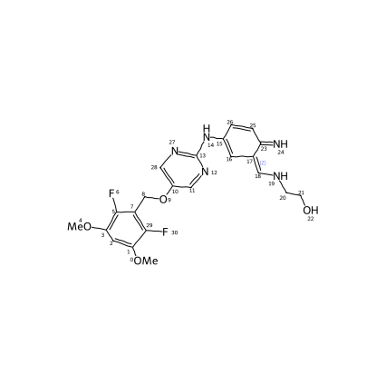 COc1cc(OC)c(F)c(COc2cnc(NC3=C/C(=C/NCCO)C(=N)C=C3)nc2)c1F